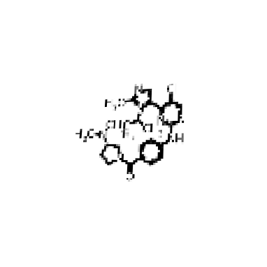 Cc1ncc(-c2nc(Nc3ccc(C(=O)N4CC[C@@H](N(C)C)C4)cc3)ncc2Cl)n1C(C)C